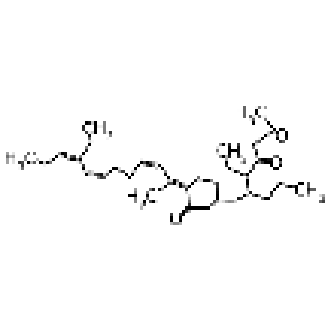 CC/C=C(\C=C/CC/C=C\C(C)=C1/CCC(CC(CCC)C(CC)C(=O)CC(C)=O)CC1=O)CC